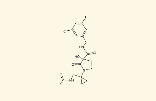 CC(=O)NCC1(N2CCC(O)(C(=O)NCc3cc(F)cc(Cl)c3)C2=O)CC1